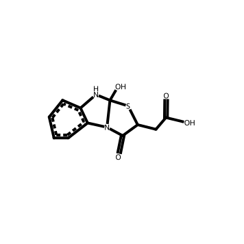 O=C(O)CC1SC2(O)Nc3ccccc3N2C1=O